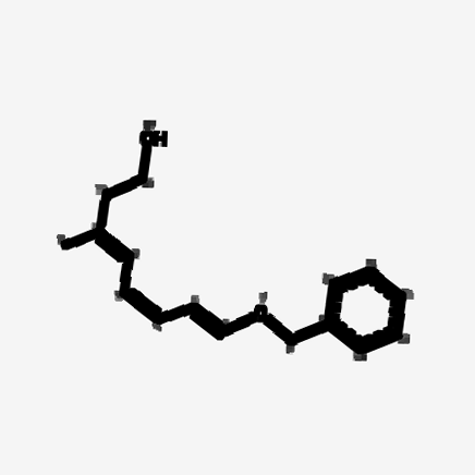 C\C(=C/C=C\C=C\OCc1ccccc1)CCO